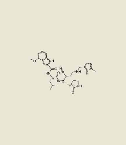 COc1cccc2[nH]c(C(=O)N[C@@H](CC(C)C)C(=O)N[C@@H](C[C@@H]3CCNC3=O)C(C#N)CCNCc3cnc(C)[nH]3)cc12